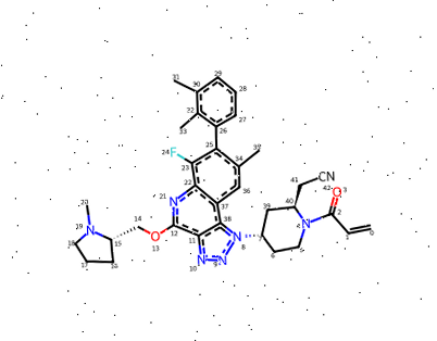 C=CC(=O)N1CC[C@H](n2nnc3c(OC[C@@H]4CCCN4C)nc4c(F)c(-c5cccc(C)c5C)c(C)cc4c32)C[C@H]1CC#N